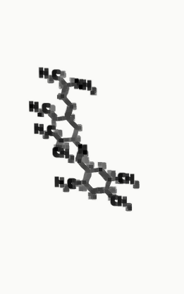 C=C/C(=C\C=C(\C)N)CC(/N=C/c1cc(C)c(C)cc1C)C(=C)C